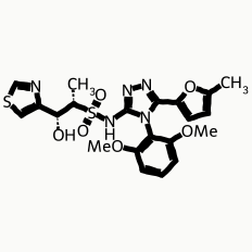 COc1cccc(OC)c1-n1c(NS(=O)(=O)[C@@H](C)[C@H](O)c2cscn2)nnc1-c1ccc(C)o1